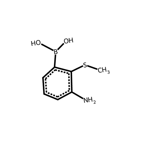 CSc1c(N)cccc1B(O)O